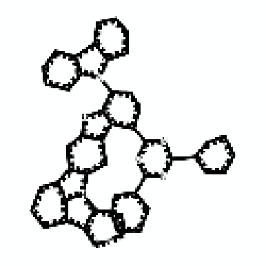 c1ccc(-c2nc(-c3ccccc3)nc(-c3ccc(-n4c5ccccc5c5ccccc54)c4oc5cc6c7cccc8c9ccccc9n(c6cc5c34)c87)n2)cc1